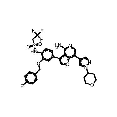 Nc1ncc(-c2cnn(C3CCOCC3)c2)c2occ(-c3ccc(NS(=O)(=O)CC(F)(F)F)c(OCc4ccc(F)cc4)c3)c12